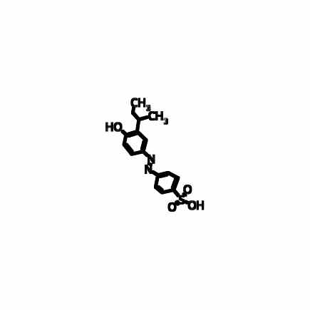 CCC(C)c1cc(/N=N/c2ccc(S(=O)(=O)O)cc2)ccc1O